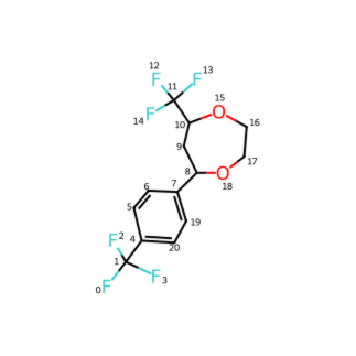 FC(F)(F)c1ccc(C2CC(C(F)(F)F)OCCO2)cc1